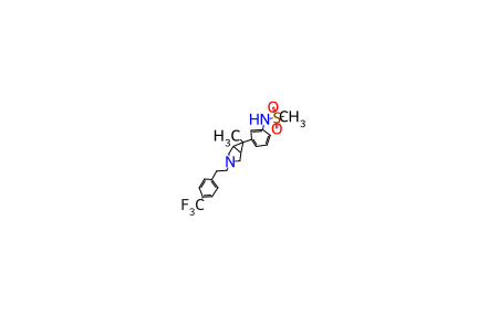 CC1(c2cccc(NS(C)(=O)=O)c2)C2CN(CCc3ccc(C(F)(F)F)cc3)CC21